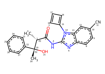 C[C@H](C(=O)Nc1nc2ccc(C#N)cc2n1C1=CC=C1)[C@](C)(O)c1ccccc1